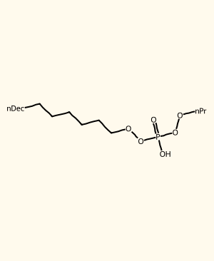 CCCCCCCCCCCCCCCCOOP(=O)(O)OOCCC